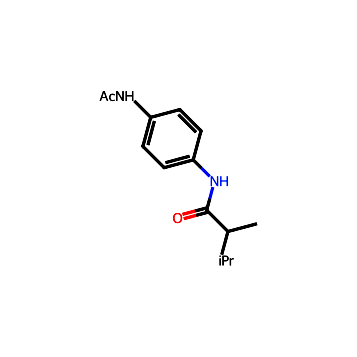 CC(=O)Nc1ccc(NC(=O)C(C)C(C)C)cc1